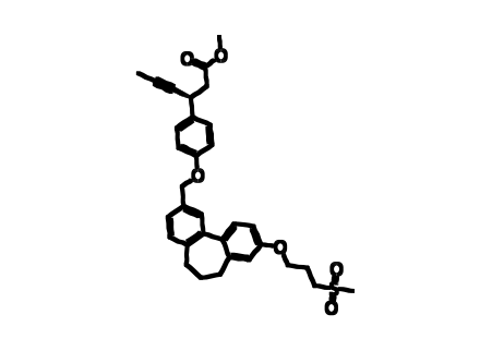 CC#C[C@@H](CC(=O)OC)c1ccc(OCc2ccc3c(c2)-c2ccc(OCCCS(C)(=O)=O)cc2CCC3)cc1